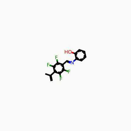 C=C(C)c1c(F)c(F)c(C=Nc2ccccc2O)c(F)c1F